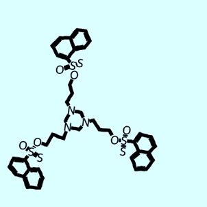 O=S(=S)(OCCCN1CN(CCCOS(=O)(=S)c2cccc3ccccc23)CN(CCCOS(=O)(=S)c2cccc3ccccc23)C1)c1cccc2ccccc12